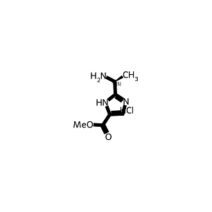 COC(=O)c1cnc([C@H](C)N)[nH]1.Cl